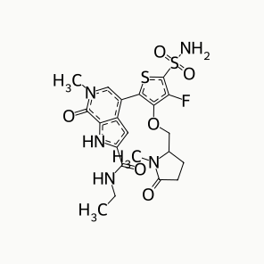 CCNC(=O)c1cc2c(-c3sc(S(N)(=O)=O)c(F)c3OCC3CCC(=O)N3C)cn(C)c(=O)c2[nH]1